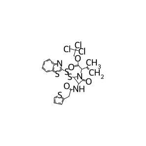 C=C(C)C(C(=O)OCC(Cl)(Cl)Cl)N1C(=O)C(NC(=O)Cc2cccs2)C1SSc1nc2ccccc2s1